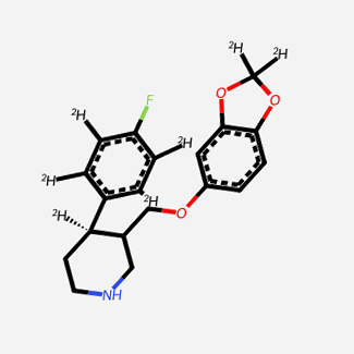 [2H]c1c([2H])c([C@]2([2H])CCNCC2COc2ccc3c(c2)OC([2H])([2H])O3)c([2H])c([2H])c1F